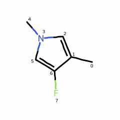 Cc1cn(C)cc1F